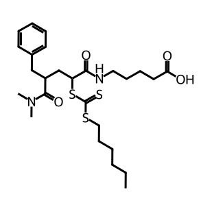 CCCCCCSC(=S)SC(CC(Cc1ccccc1)C(=O)N(C)C)C(=O)NCCCCC(=O)O